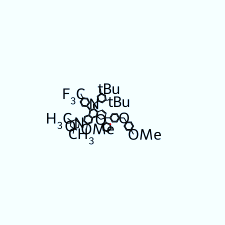 COc1ccc(Oc2ccc(C3(c4ccccc4)C=Cc4c(c5cc(OC)c(N6CC(C)OC(C)C6)cc5c5c6ccc(C(F)(F)F)cc6n(-c6cc(C(C)(C)C)cc(C(C)(C)C)c6)c45)O3)cc2)cc1